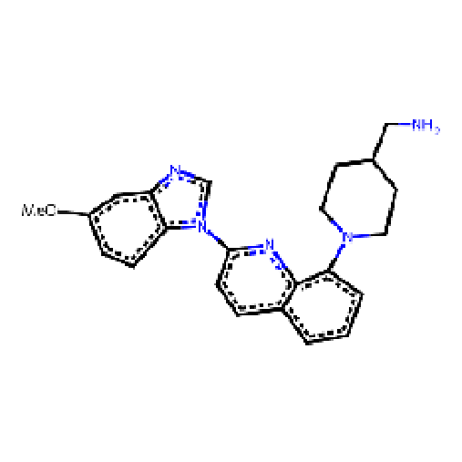 COc1ccc2c(c1)ncn2-c1ccc2cccc(N3CCC(CN)CC3)c2n1